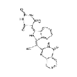 N#C/C(c1nc2ccccc2c(=O)[nH]1)=c1\[nH]c(=C2C(=O)NC(=O)NC2=O)c2ccccc12